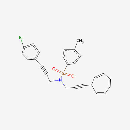 Cc1ccc(S(=O)(=O)N(CC#Cc2ccc(Br)cc2)CC#CC2C=CC=CC=C2)cc1